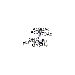 CC(=O)OCC1O[C@@H](/C=C/c2ccc([C@@H]3[C@@H](CC[C@H](O)c4ccc(F)cc4)C(=O)N3c3ccccc3)c(O[Si](C)(C)C(C)(C)C)c2)[C@@H](OC(C)=O)C(OC(C)=O)[C@@H]1OC(C)=O